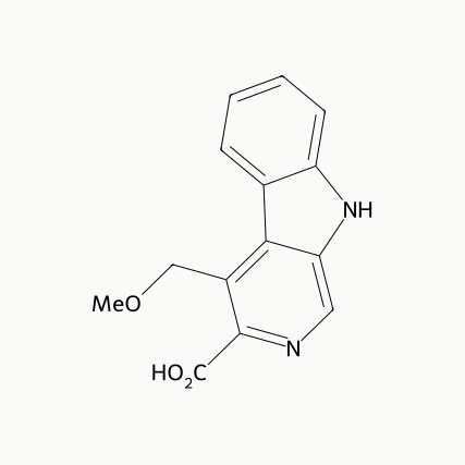 COCc1c(C(=O)O)ncc2[nH]c3ccccc3c12